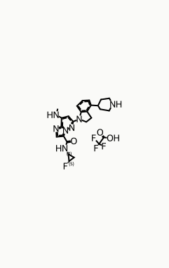 CNc1cc(N2CCc3c(C4CCNCC4)cccc32)nn2c(C(=O)N[C@@H]3C[C@@H]3F)cnc12.O=C(O)C(F)(F)F